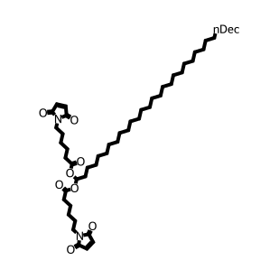 CCCCCCCCCCCCCCCCCCCCCCCCCCCCCCCCCCCC(OC(=O)CCCCCN1C(=O)C=CC1=O)OC(=O)CCCCCN1C(=O)C=CC1=O